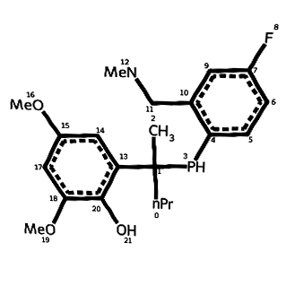 CCCC(C)(Pc1ccc(F)cc1CNC)c1cc(OC)cc(OC)c1O